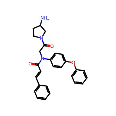 NC1CCN(C(=O)CN(C(=O)C=Cc2ccccc2)c2ccc(Oc3ccccc3)cc2)C1